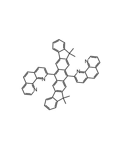 CC1(C)c2ccccc2-c2cc3c(-c4ccc5ccc6cccnc6c5n4)c4cc5c(cc4c(-c4ccc6ccc7cccnc7c6n4)c3cc21)C(C)(C)c1ccccc1-5